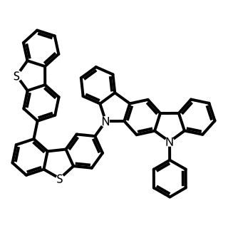 c1ccc(-n2c3ccccc3c3cc4c5ccccc5n(-c5ccc6sc7cccc(-c8ccc9c(c8)sc8ccccc89)c7c6c5)c4cc32)cc1